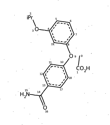 CC(=O)O.CC(C)Oc1cccc(Oc2ccc(C(N)=O)cc2)c1